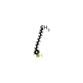 CCCCCCCCCCCCCCCc1ccc(S)cc1